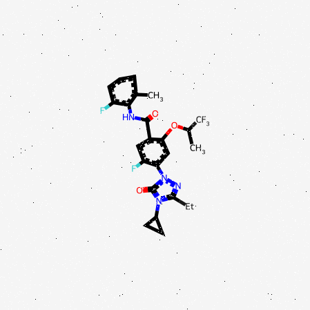 CCc1nn(-c2cc(OC(C)C(F)(F)F)c(C(=O)Nc3c(C)cccc3F)cc2F)c(=O)n1C1CC1